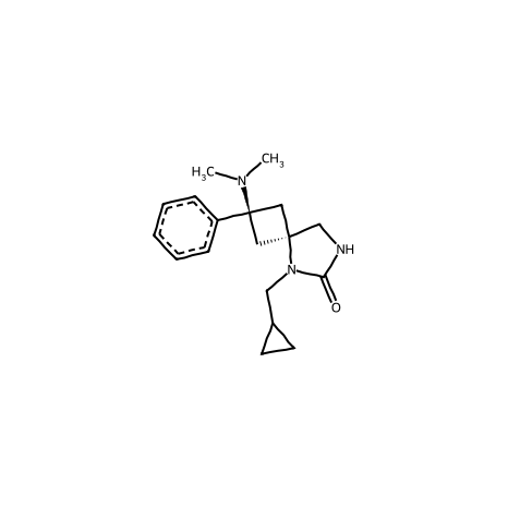 CN(C)[C@]1(c2ccccc2)C[C@@]2(CNC(=O)N2CC2CC2)C1